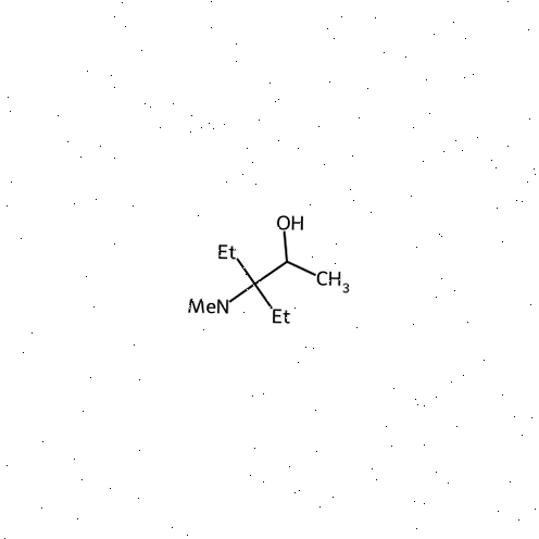 CCC(CC)(NC)C(C)O